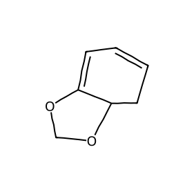 C1=CCC2OCOC2=C1